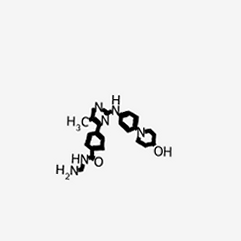 Cc1cnc(Nc2ccc(N3CCC(O)CC3)cc2)nc1-c1ccc(C(=O)NCN)cc1